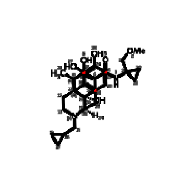 COCC1(NC(=O)C2=C(O)[C@H](C)[C@]34CCN(CC5CC5)[C@H](Cc5ccc(O)c(O)c53)[C@]4(O)C2)CC1